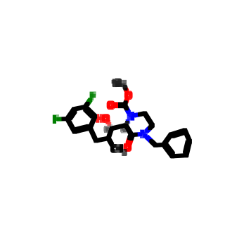 CC(Cc1cc(F)cc(F)c1)[C@H](O)[C@H]1C(=O)N(Cc2ccccc2)CCN1C(=O)OC(C)(C)C